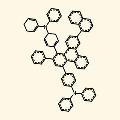 C1=CC(N(c2ccccc2)C2C=CC(c3c(-c4ccccc4)cc(-c4ccc(N(c5ccccc5)c5ccccc5)cc4)c4c5ccccc5c5cc(-c6cccc7ccccc67)ccc5c34)=CC2)=CCC1